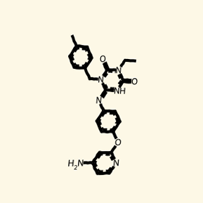 CCn1c(=O)[nH]/c(=N\c2ccc(Oc3cc(N)ccn3)cc2)n(Cc2ccc(C)cc2)c1=O